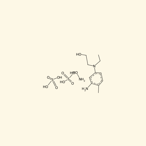 CCN(CCO)c1ccc(C)c(N)c1.NO.O=S(=O)(O)O.O=S(=O)(O)O